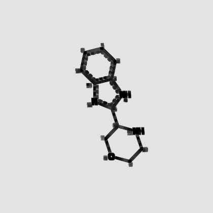 c1ccc2[nH]c(C3COCCN3)nc2c1